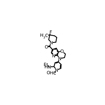 CCNC1C=C(N2CCOc3cc(C(=O)N4CCCC(C)(F)C4)cnc32)C=CN1C=O